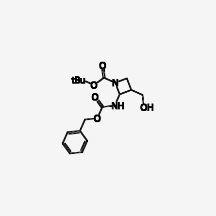 CC(C)(C)OC(=O)N1CC(CO)C1NC(=O)OCc1ccccc1